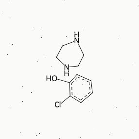 C1CNCCN1.Oc1ccccc1Cl